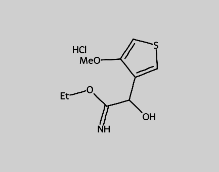 CCOC(=N)C(O)c1cscc1OC.Cl